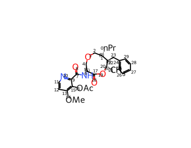 CCC[C@H]1COC[C@H](NC(=O)c2nccc(OC)c2OC(C)=O)C(=O)O[C@@H](C)[C@@H]1Cc1ccccc1